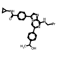 CC(C)CNc1nc(-c2ccc(C(C)O)cc2)cn2c(-c3ccc(C(=O)NC4CC4)cc3)cnc12